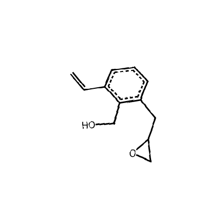 C=Cc1cccc(CC2CO2)c1CO